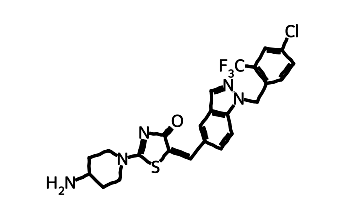 NC1CCN(C2=NC(=O)C(=Cc3ccc4c(cnn4Cc4ccc(Cl)cc4C(F)(F)F)c3)S2)CC1